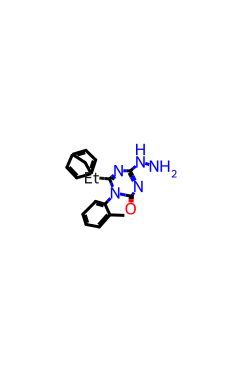 C1=CC2=CC=C1C2.CCc1nc(NN)nc(=O)n1-c1ccccc1C